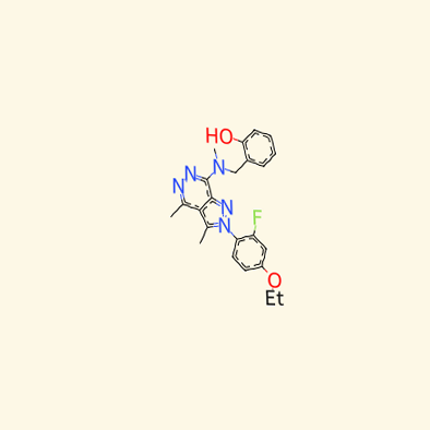 CCOc1ccc(-n2nc3c(N(C)Cc4ccccc4O)nnc(C)c3c2C)c(F)c1